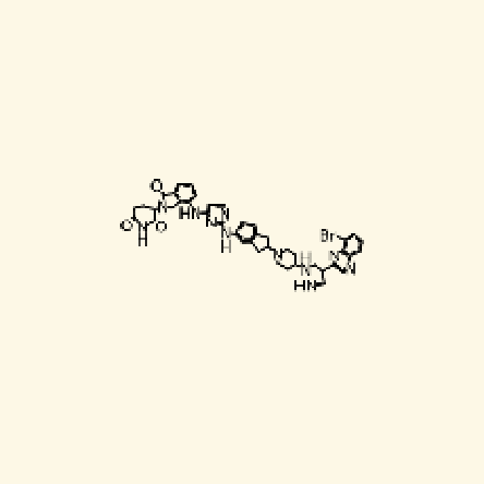 N=CC(CNC1CCN(C2Cc3ccc(Nc4nccc(Nc5cccc6c5CN(C5CCC(=O)NC5=O)C6=O)n4)cc3C2)CC1)c1cnc2cccc(Br)c2n1